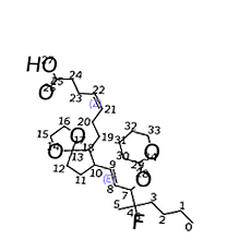 CCCCC(C)(F)C(/C=C/C1CCC2(OCCO2)C1CC/C=C\CCC(=O)O)OC1CCCCO1